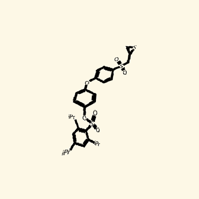 CC(C)c1cc(C(C)C)c(S(=O)(=O)Oc2ccc(Oc3ccc(S(=O)(=O)CC4CS4)cc3)cc2)c(C(C)C)c1